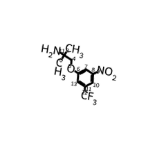 CC(C)(N)COc1cc([N+](=O)[O-])cc(C(F)(F)F)c1